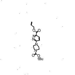 C=CCOC(=O)c1ccc(N2CCN(C(=O)OC(C)(C)C)CC2)nn1